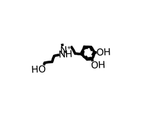 C[N+](CCc1ccc(O)c(O)c1)NCCCO